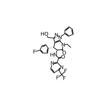 CCN1C(=O)[C@@H](NC(=O)c2nccc(C(F)(F)F)n2)[C@H](c2ccc(F)cc2)c2c(CO)nn(-c3ccccc3)c21